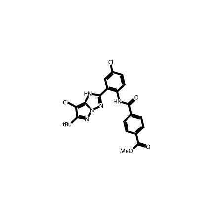 COC(=O)c1ccc(C(=O)Nc2ccc(Cl)cc2-c2nn3nc(C(C)(C)C)c(Cl)c3[nH]2)cc1